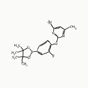 [2H]c1cc(C)nc(Oc2ccc(B3OC(C)(C)C(C)(C)O3)cc2F)n1